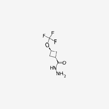 NNC(=O)[C@H]1C[C@@H](OC(F)(F)F)C1